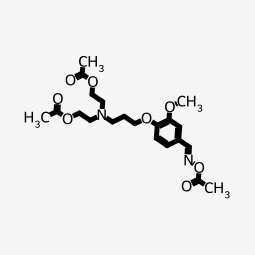 COc1cc(/C=N/OC(C)=O)ccc1OCCCN(CCOC(C)=O)CCOC(C)=O